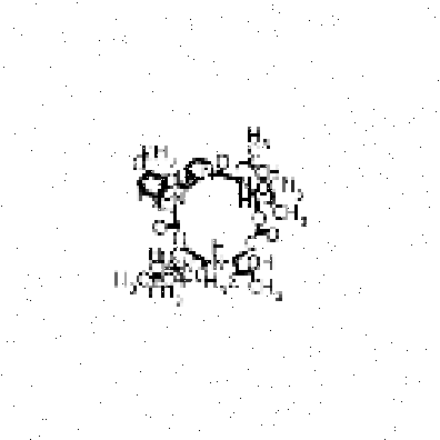 CC[C@H](C)[C@H]1NC(=O)[C@@H](NC(=O)OC(C)(C)C)[C@@H](C)OC(=O)[C@H](Cc2ccc(OC)cc2)N(C)C(=O)[C@@H]2CCCN2C(=O)[C@H](CC(C)C)NC(=O)[C@H](C(C)C)OC(=O)C[C@@H]1O